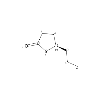 CCC[C@@H]1CCC(=O)S1